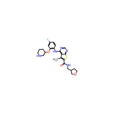 Cc1c(C(=O)NCC2CCOC2)sc2ncnc(Nc3ccc(F)cc3OC3CCCNC3)c12